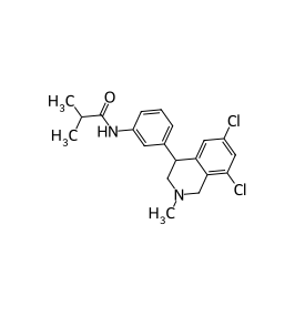 CC(C)C(=O)Nc1cccc(C2CN(C)Cc3c(Cl)cc(Cl)cc32)c1